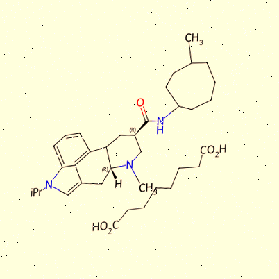 CC1CCCCC(NC(=O)[C@@H]2CC3c4cccc5c4c(cn5C(C)C)C[C@H]3N(C)C2)CC1.O=C(O)CCCCCCC(=O)O